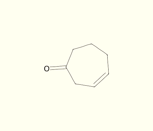 O=C1CC=CCCC1